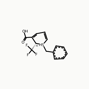 O=C(O)C1=CC=C[SH](Cc2ccccc2)[C@@H]1C(F)(F)F